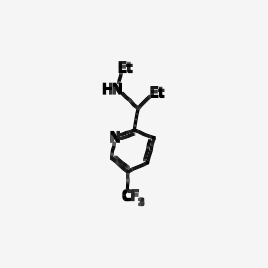 CCNC(CC)c1ccc(C(F)(F)F)cn1